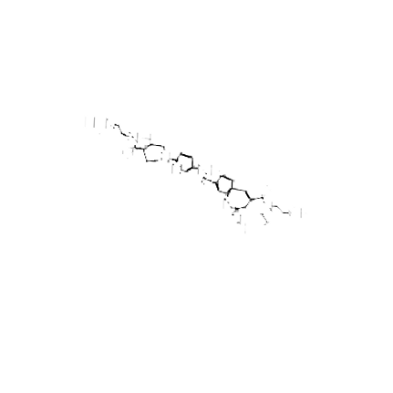 CCCN(CCC)C(=O)C1=Cc2ccc(C(=O)Nc3ccc(N4CCC(C(=O)NCCN)CC4)nc3)cc2N=C(N)C1